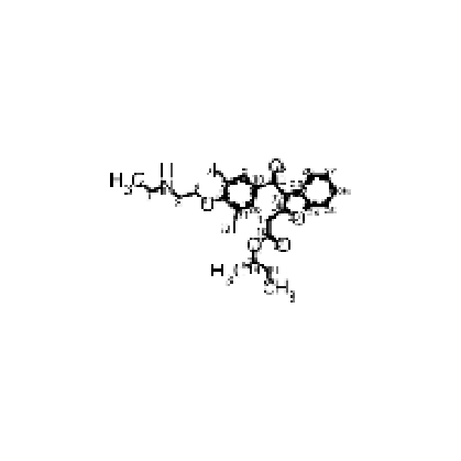 CCNCCOc1c(I)cc(C(=O)c2c(CC(=O)O[C@H](C)CC)oc3ccccc23)cc1I